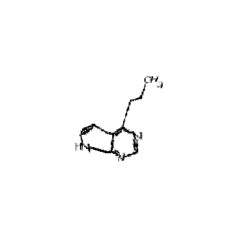 CCCc1ncnc2[nH]ccc12